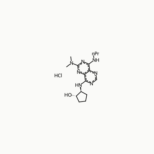 CCCNc1nc(N(C)C)nc2c(N[C@H]3CCC[C@@H]3O)ncnc12.Cl